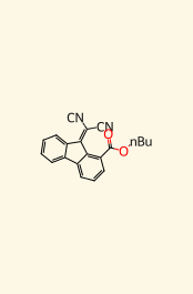 [C-]#[N+]/C(C#N)=C1\c2ccccc2-c2cccc(C(=O)OCCCC)c21